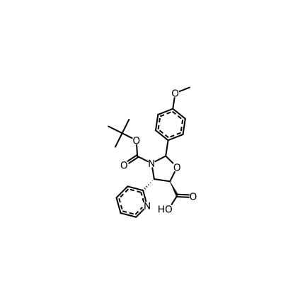 COc1ccc(C2O[C@@H](C(=O)O)[C@H](c3ccccn3)N2C(=O)OC(C)(C)C)cc1